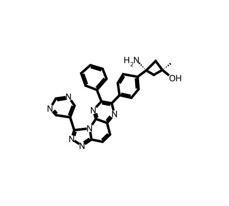 C[C@]1(O)C[C@@](N)(c2ccc(-c3nc4ccc5nnc(-c6cncnc6)n5c4nc3-c3ccccc3)cc2)C1